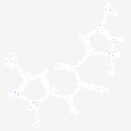 C=C(C(=O)C(=C)c1cc(C(F)(F)F)nn1C)c1cc(C(F)(F)F)nn1C